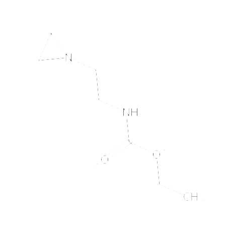 CCOC(=O)NCCN1CC1